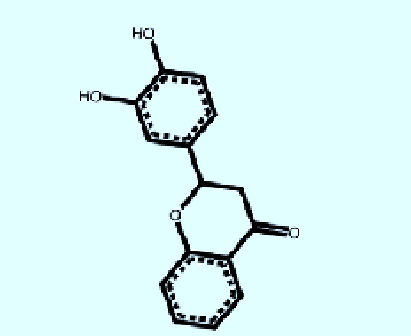 O=C1CC(c2ccc(O)c(O)c2)Oc2ccccc21